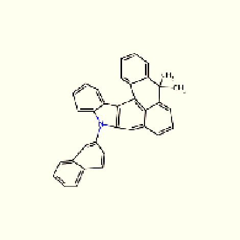 CC1(C)c2ccccc2-c2c3c1cccc3cc1c2c2ccccc2n1-c1ccc2ccccc2c1